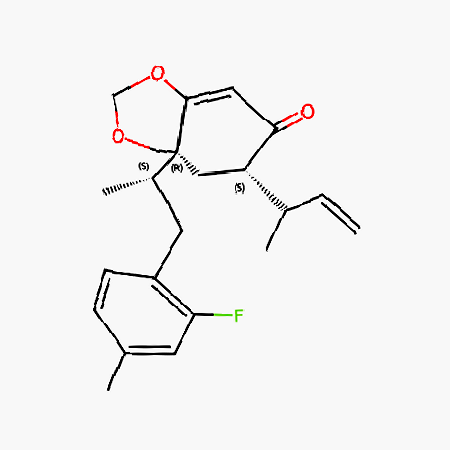 C=CC(C)[C@@H]1C[C@]2([C@@H](C)Cc3ccc(C)cc3F)OCOC2=CC1=O